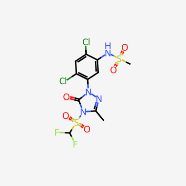 Cc1nn(-c2cc(NS(C)(=O)=O)c(Cl)cc2Cl)c(=O)n1S(=O)(=O)C(F)F